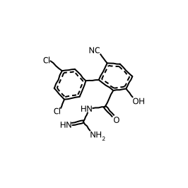 N#Cc1ccc(O)c(C(=O)NC(=N)N)c1-c1cc(Cl)cc(Cl)c1